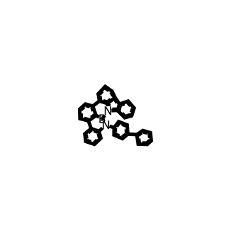 c1ccc(-c2ccc(N3B4c5c(cccc5-c5cccc6c7ccccc7n4c56)-c4ccccc43)cc2)cc1